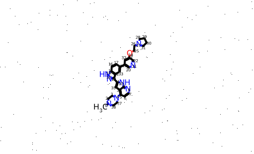 CN1CCN(c2ccnc3[nH]c(-c4n[nH]c5ccc(-c6cncc(OCCN7CCCC7)c6)cc45)cc23)CC1